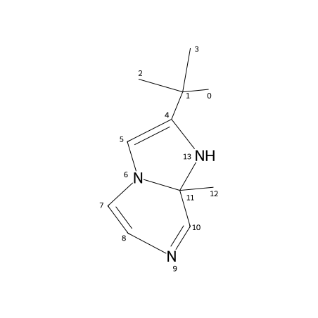 CC(C)(C)C1=CN2C=CN=CC2(C)N1